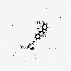 CCCCN(CCCC)CCCOc1ccc(C(=O)c2c(CC)oc3ccc(N)cc23)cc1